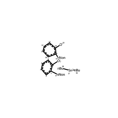 CCCCCCCCCc1ccccc1[O-].CCCCCCCCCc1ccccc1[O-].CCC[CH2][Sn+2][CH2]CCC